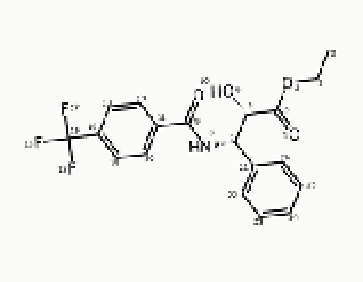 CCOC(=O)[C@@H](O)[C@@H](NC(=O)c1ccc(C(F)(F)F)cc1)c1ccccc1